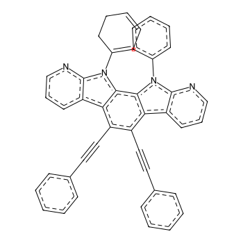 C(#Cc1c(C#Cc2ccccc2)c2c3cccnc3n(-c3ccccc3)c2c2c1c1cccnc1n2C1=CC=CCC1)c1ccccc1